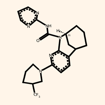 O=C(Nc1ncccn1)N1c2nc(N3CCCC(C(F)(F)F)C3)ccc2C2CCC[C@H]1C2